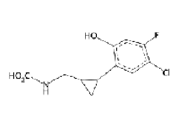 O=C(O)NCC1CC1c1cc(Cl)c(F)cc1O